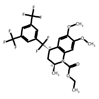 CCOC(=O)N1c2cc(OC)c(OC)cc2[C@@H](C(F)(F)c2cc(C(F)(F)F)cc(C(F)(F)F)c2)C[C@@H]1C